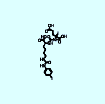 O=C(O)CCC(I)(NC(=O)N[C@@H](CCCCNC(=O)Nc1ccc(I)cc1)C(=O)O)C(=O)O